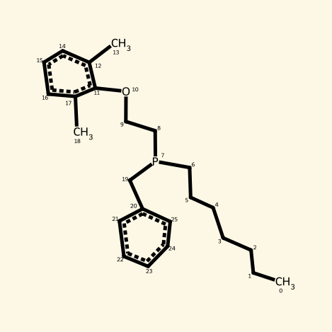 CCCCCCCP(CCOc1c(C)cccc1C)Cc1ccccc1